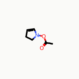 CC(=O)ON1C=CCC1